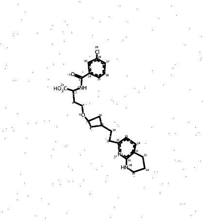 O=C(NC(CCOC1CC(CCc2ccc3c(n2)NCCC3)C1)C(=O)O)c1cccc(Cl)c1